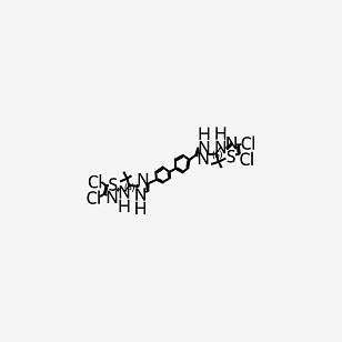 CC(C)(C)[C@H](Nc1nc(Cl)c(Cl)s1)c1nc(-c2ccc(-c3ccc(-c4c[nH]c([C@@H](Nc5nc(Cl)c(Cl)s5)C(C)(C)C)n4)cc3)cc2)c[nH]1